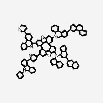 C1=CC2c3c(-c4ccc(-c5cc6oc7c(N(c8cccc9ccccc89)c8cc(-c9ccc%10ccccc%10c9)cc9ccccc89)ccc8c9cc(N%10Cc%11ccc(-c%12ccc%13ccc%14ccccc%14c%13c%12)cc%11-c%11ccccc%11%10)cc%10oc%11cc(-c%12nc%13ccccc%13c%13cc(-c%14cccnc%14)ccc%12%13)cc(c(c5)c6c78)c%11c%109)cn4)cccc3N(c3ccccc3)C2C=C1